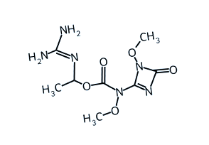 CON1C(=O)N=C1N(OC)C(=O)OC(C)N=C(N)N